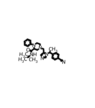 CC(c1ccc(C#N)cc1)n1cncc1CN1CCN(c2ccccc2)C(C(=O)NC(C)(C)C)C1